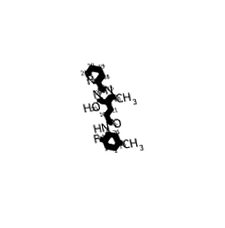 Cc1ccc(F)c(NC(=O)CCc2c(C)nc(-c3ccccn3)nc2O)c1